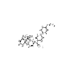 CCc1ccc(-c2ccc(N(C)c3ccc4c(c3)C(C)(C)c3ccccc3-4)cc2)cc1